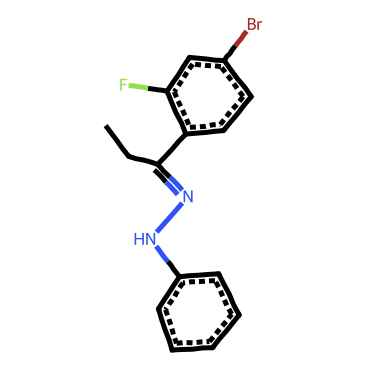 CC/C(=N\Nc1ccccc1)c1ccc(Br)cc1F